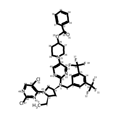 CC[C@@H]1C[C@H](N(Cc2cc(C(F)(F)F)cc(C(F)(F)F)c2)c2ncc(N3CCC(OC(=O)c4ccccc4)CC3)cn2)CN1c1nc(Cl)ncc1Cl